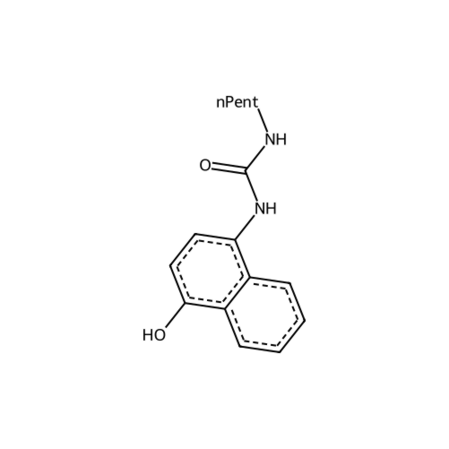 CCCCCNC(=O)Nc1ccc(O)c2ccccc12